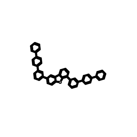 c1ccc(-c2ccc(-c3cccc(-c4ccc5oc6c(-c7cccc(-c8ccc(-c9ccccc9)cc8)c7)cccc6c5c4)c3)cc2)cc1